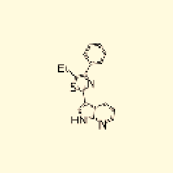 CCc1sc(-c2c[nH]c3ncccc23)nc1-c1ccccc1